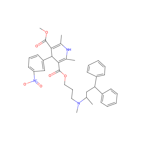 COC(=O)C1=C(C)NC(C)=C(C(=O)OCCCN(C)C(C)CC(c2ccccc2)c2ccccc2)C1c1cccc([N+](=O)[O-])c1